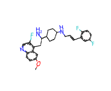 COc1ccc2ncc(F)c(CC(N)C3CCC(NCC=Cc4cc(F)ccc4F)CC3)c2c1